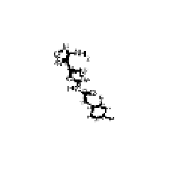 Nc1nonc1-c1nnc(NC(=O)Cc2ccc(F)cc2F)o1